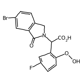 O=C(O)C(c1cc(F)ccc1OO)N1Cc2ccc(Br)cc2C1=O